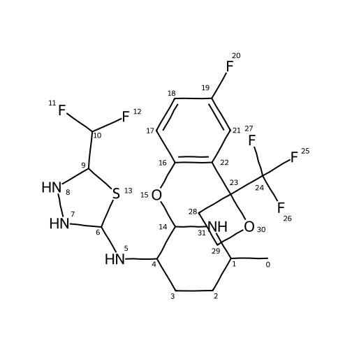 CC1CCC(NC2NNC(C(F)F)S2)C(Oc2ccc(F)cc2C2(C(F)(F)F)CCO2)N1